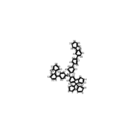 c1ccc(C2(c3ccccc3)c3ccccc3-c3cc(N(c4ccc(-c5ccc(-c6ccc7sc8ccccc8c7c6)cc5)cc4)c4ccc(-c5cccc6sc7ccccc7c56)cc4)ccc32)cc1